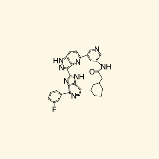 O=C(CC1CCCCC1)Nc1cncc(-c2ccc3[nH]nc(-c4nc5c(-c6cccc(F)c6)nccc5[nH]4)c3n2)c1